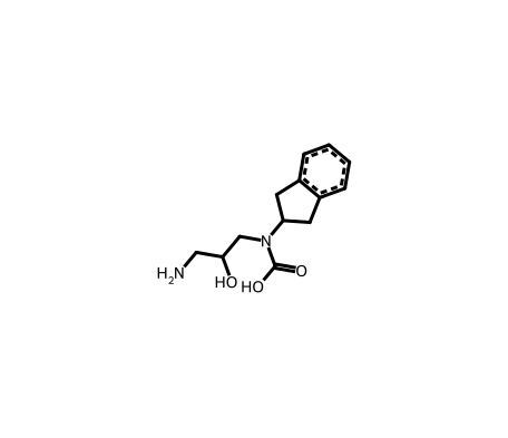 NCC(O)CN(C(=O)O)C1Cc2ccccc2C1